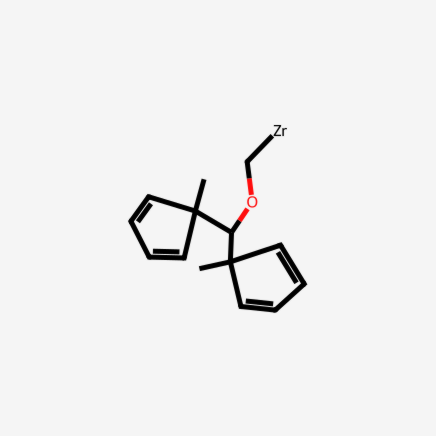 CC1(C(O[CH2][Zr])C2(C)C=CC=C2)C=CC=C1